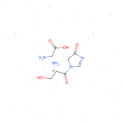 NCC(=O)O.N[C@@H](CO)C(=O)N1C=NC(=O)C1